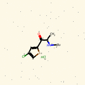 CCC(C)NC(C)C(=O)c1cc(Cl)cs1.Cl